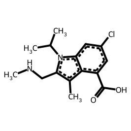 CNCc1c(C)c2c(C(=O)O)cc(Cl)cc2n1C(C)C